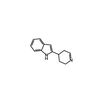 C1=NCCC(c2cc3ccccc3[nH]2)C1